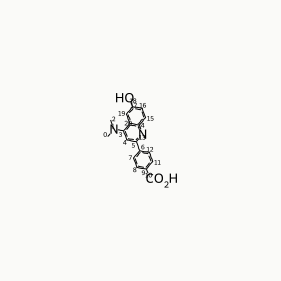 CN(C)c1cc(-c2ccc(C(=O)O)cc2)nc2ccc(O)cc12